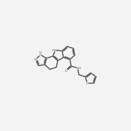 O=C(NCc1ccco1)c1cccc2[nH]c3c(c12)CCc1cn[nH]c1-3